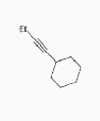 C[CH]C#CC1CCCCC1